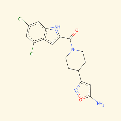 Nc1cc(C2CCN(C(=O)c3cc4c(Cl)cc(Cl)cc4[nH]3)CC2)no1